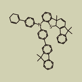 CC1(C)C2=C(c3ccccc31)C1Sc3c(N(c4ccc(C5=CCCC=C5)cc4)c4ccc(-c5ccc6c(c5)C(C)(C)c5ccccc5-6)cc4)cccc3C1(C)C=C2